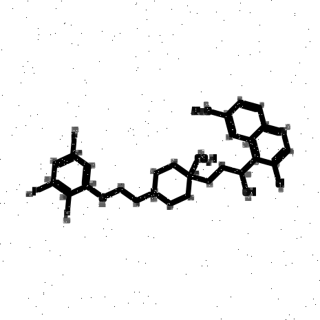 COc1ccc2ncc(Cl)c(C(O)CCC3(C(=O)O)CCN(CCOc4cc(F)cc(F)c4F)CC3)c2c1